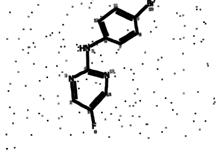 Fc1cnc(Nc2ccc(Br)cc2)nc1